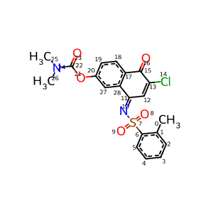 Cc1ccccc1S(=O)(=O)N=C1C=C(Cl)C(=O)c2ccc(OC(=O)N(C)C)cc21